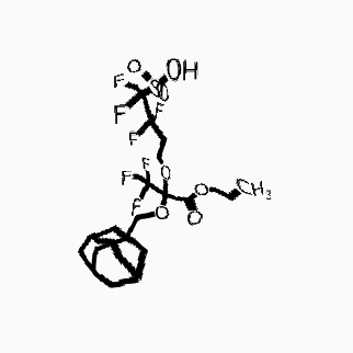 CCOC(=O)C(OCCC(F)(F)C(F)(F)S(=O)(=O)O)(OCC12CC3CC(CC(C3)C1)C2)C(F)(F)F